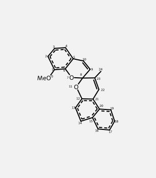 COc1cccc2c1OC1(C=C2)Oc2ccc3ccccc3c2C=C1C